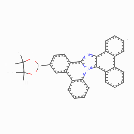 CC1(C)OB(c2ccc3c(c2)c2ccccc2n2c3nc3c4ccccc4c4ccccc4c32)OC1(C)C